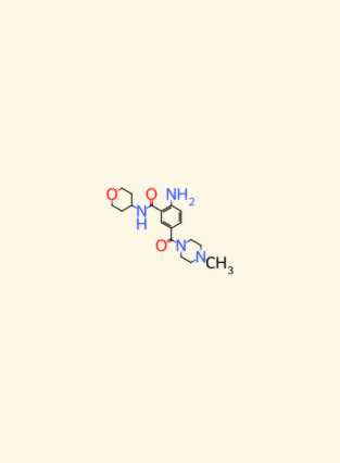 CN1CCN(C(=O)c2ccc(N)c(C(=O)NC3CCOCC3)c2)CC1